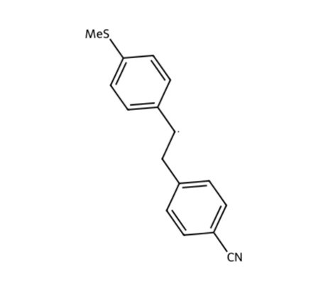 CSc1ccc([CH]Cc2ccc(C#N)cc2)cc1